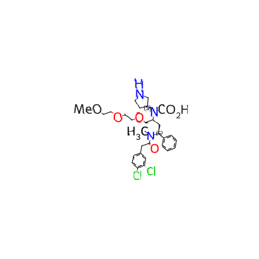 COCCOCCOCC(C[C@@H](c1ccccc1)N(C)C(=O)Cc1ccc(Cl)c(Cl)c1)N(C(=O)O)[C@H]1CCNC1